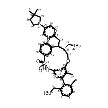 Cc1cccc(CC(C)(C)C)c1-c1nc2nc(c1C)OC[C@@H](CC(C)(C)C)C(Cc1ncc(N3CCC(C)(C)C3)cn1)c1cccc(c1)S(=O)(=O)N2